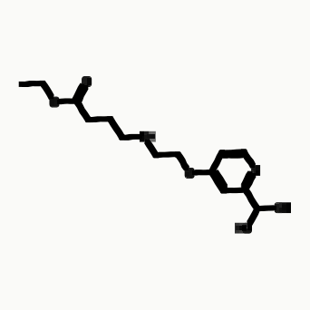 CCOC(=O)CCCNCCOc1ccnc(C(O)O)c1